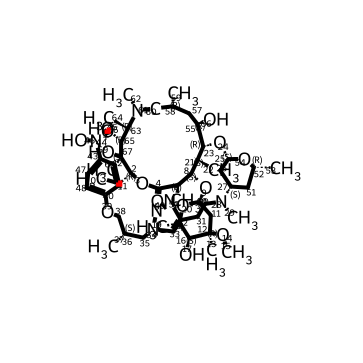 CC[C@H]1OC(=O)[C@H](C)[C@@H](O[C@H]2C[C@@](C)(OC)[C@@H](O)[C@H](C)O2)[C@H](C)[C@@H](O[C@H]2C[C@@H](N(C)CCc3cn(C[C@H](C)COc4ccc([N+](=O)O)cc4)nn3)C[C@@H](C)O2)[C@H](O)C[C@@H](C)CN(C)[C@H](C)[C@@H](O)[C@]1(C)O